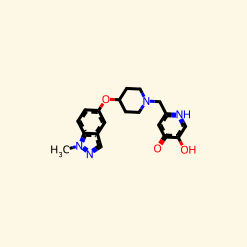 Cn1ncc2cc(OC3CCN(Cc4cc(=O)c(O)c[nH]4)CC3)ccc21